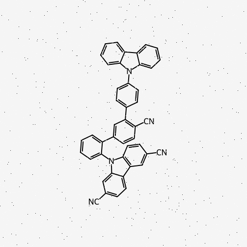 N#Cc1ccc2c(c1)c1ccc(C#N)cc1n2-c1ccccc1-c1ccc(C#N)c(-c2ccc(-n3c4ccccc4c4ccccc43)cc2)c1